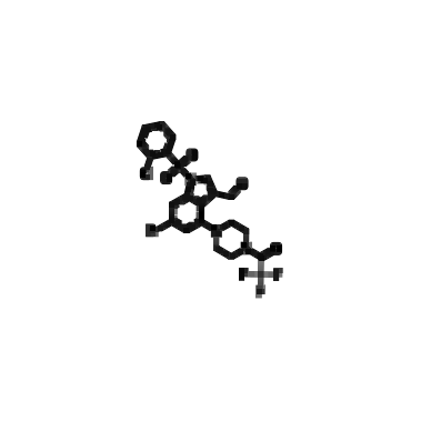 O=Cc1cn(S(=O)(=O)c2ccccc2Cl)c2cc(Br)cc(N3CCN(C(=O)C(F)(F)F)CC3)c12